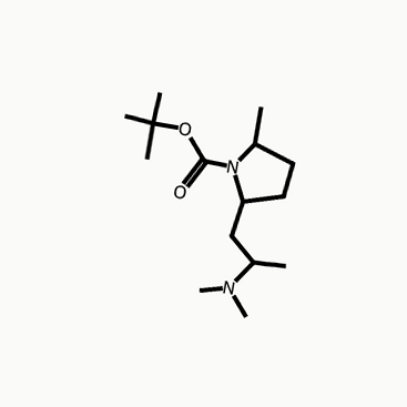 CC(CC1CCC(C)N1C(=O)OC(C)(C)C)N(C)C